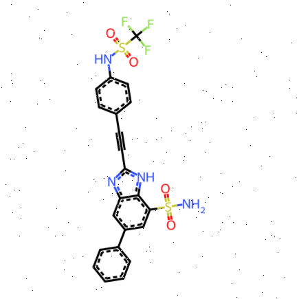 NS(=O)(=O)c1cc(-c2ccccc2)cc2nc(C#Cc3ccc(NS(=O)(=O)C(F)(F)F)cc3)[nH]c12